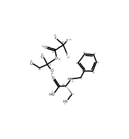 O=C(O)[C@@H](CS)NCc1ccccc1.O=C(OC(Cl)(Cl)CCl)C(F)(F)F